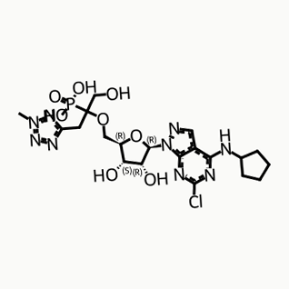 Cn1nnc(CC(CO)(OC[C@H]2O[C@@H](n3ncc4c(NC5CCCC5)nc(Cl)nc43)[C@H](O)[C@@H]2O)P(=O)(O)O)n1